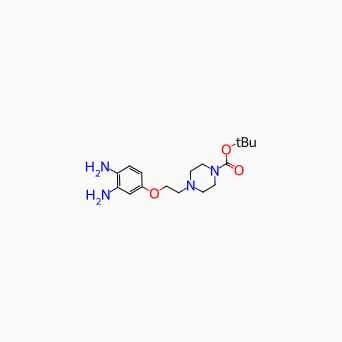 CC(C)(C)OC(=O)N1CCN(CCOc2ccc(N)c(N)c2)CC1